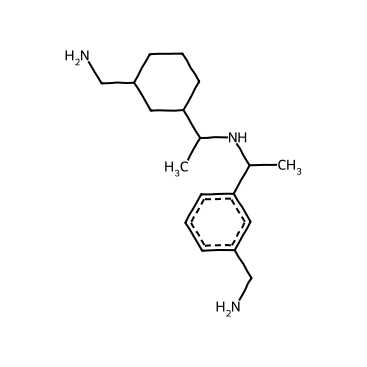 CC(NC(C)C1CCCC(CN)C1)c1cccc(CN)c1